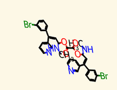 CNC(/C=C(\c1cccnc1)c1cccc(Br)c1)OC(=O)C(=O)OC(/C=C(\c1cccnc1)c1cccc(Br)c1)NC